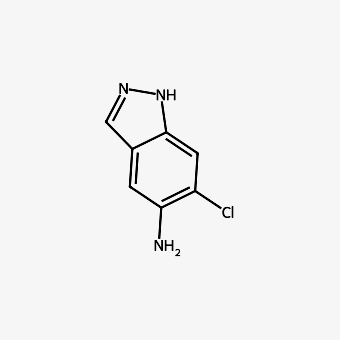 Nc1cc2cn[nH]c2cc1Cl